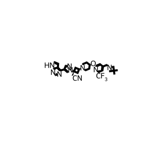 CC1(C)CN(Cc2cc(OC3CCN([C@H]4C[C@](CC#N)(n5cc(-c6ncnc7[nH]ccc67)cn5)C4)CC3)nc(C(F)(F)F)c2)C1